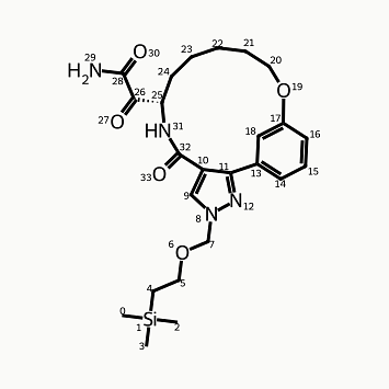 C[Si](C)(C)CCOCn1cc2c(n1)-c1cccc(c1)OCCCCC[C@@H](C(=O)C(N)=O)NC2=O